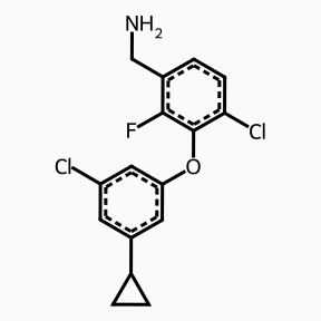 NCc1ccc(Cl)c(Oc2cc(Cl)cc(C3CC3)c2)c1F